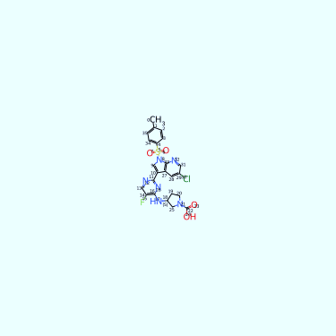 Cc1ccc(S(=O)(=O)n2cc(-c3ncc(F)c(N[C@H]4CCN(C(=O)O)C4)n3)c3cc(Cl)cnc32)cc1